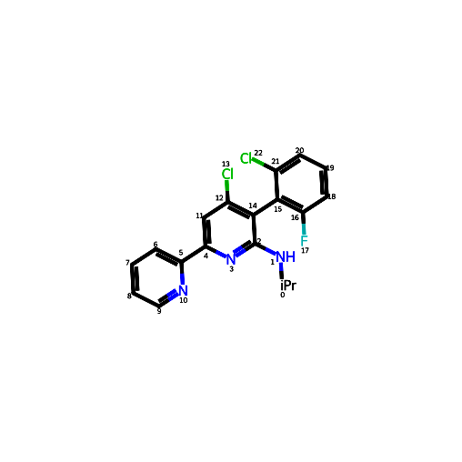 CC(C)Nc1nc(-c2ccccn2)cc(Cl)c1-c1c(F)cccc1Cl